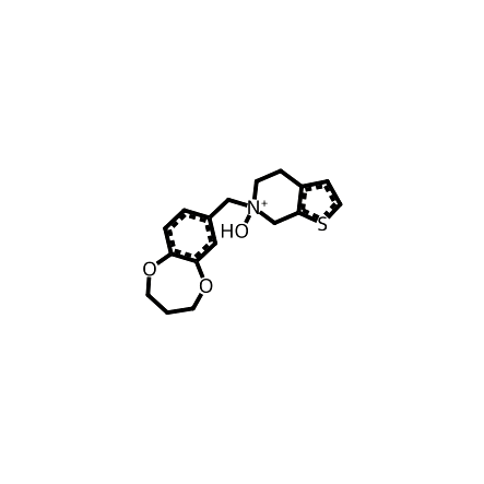 O[N+]1(Cc2ccc3c(c2)OCCCO3)CCc2ccsc2C1